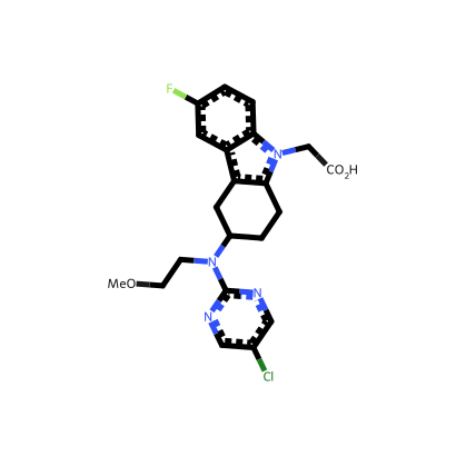 COCCN(c1ncc(Cl)cn1)C1CCc2c(c3cc(F)ccc3n2CC(=O)O)C1